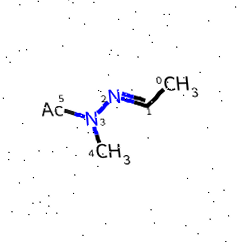 C/C=N/N(C)C(C)=O